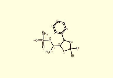 CCC1(CC)OC(c2ccccc2)C(C(C)OS(N)(=O)=O)O1